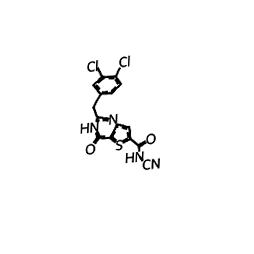 N#CNC(=O)c1cc2nc(Cc3ccc(Cl)c(Cl)c3)[nH]c(=O)c2s1